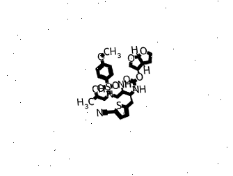 COc1ccc(S(=O)(=O)N(CC(C)C)C[C@@H](N)[C@H](Cc2ccc(C#N)s2)NC(=O)O[C@H]2CO[C@H]3OCC[C@H]32)cc1